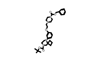 CC(C)(C)OC(=O)N1CCN(c2cccc(OCCN3CCN(C(=O)OCc4ccccc4)CC3)c2)C2(CCC2)C1